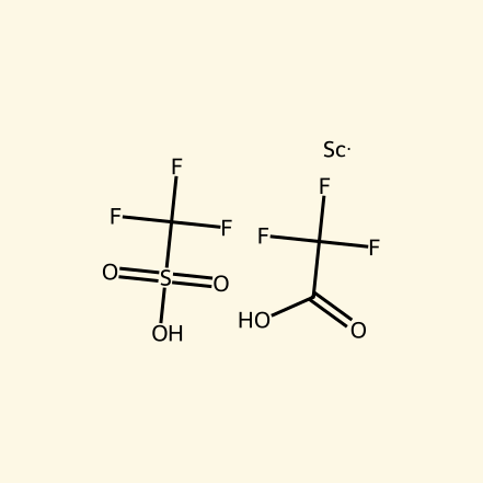 O=C(O)C(F)(F)F.O=S(=O)(O)C(F)(F)F.[Sc]